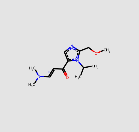 COCc1ncc(C(=O)/C=C/N(C)C)n1C(C)C